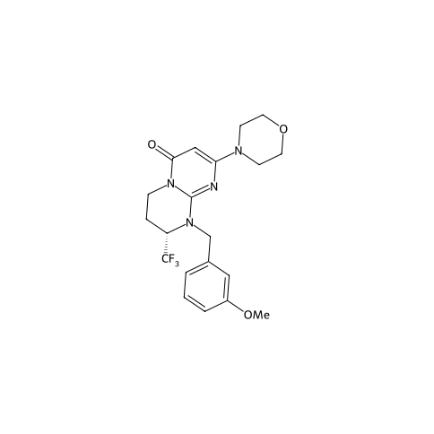 COc1cccc(CN2c3nc(N4CCOCC4)cc(=O)n3CC[C@H]2C(F)(F)F)c1